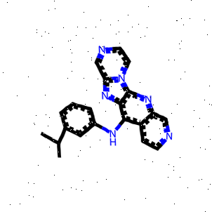 CC(C)c1cccc(Nc2c3ccncc3nc3c2nc2cnccn23)c1